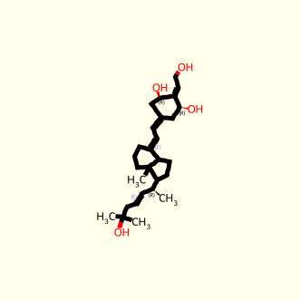 C[C@H](/C=C/CC(C)(C)O)C1CCC2/C(=C/C=C3C[C@@H](O)C(=CCO)[C@H](O)C3)CCCC21C